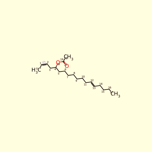 C/C=C\CC(CCCCCCCC=CCCCC)OC(C)=O